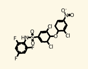 O=[N+]([O-])C1=CCC(OC2C(Cl)=CC(S(=O)(=O)Nc3c(F)cc(F)cc3F)=CC2Cl)C(Cl)=C1